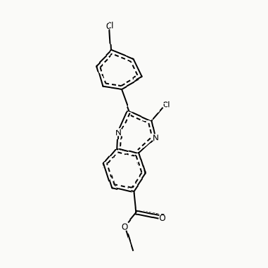 COC(=O)c1ccc2nc(-c3ccc(Cl)cc3)c(Cl)nc2c1